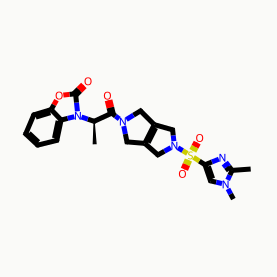 Cc1nc(S(=O)(=O)N2CC3=C(CN(C(=O)[C@@H](C)n4c(=O)oc5ccccc54)C3)C2)cn1C